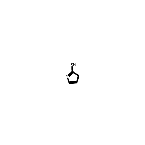 SC1=NC=CC1